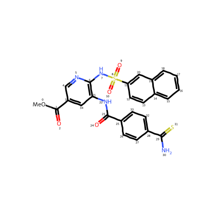 COC(=O)c1cnc(NS(=O)(=O)c2ccc3ccccc3c2)c(NC(=O)c2ccc(C(N)=S)cc2)c1